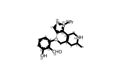 CC1CC(COc2cccc(O)c2C=O)=C(c2ccnn2C(C)C)CN1